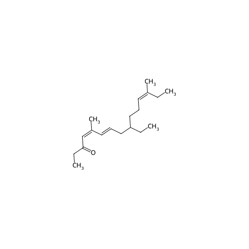 CCC(=O)C=C(C)C=CCC(CC)CCC=C(C)CC